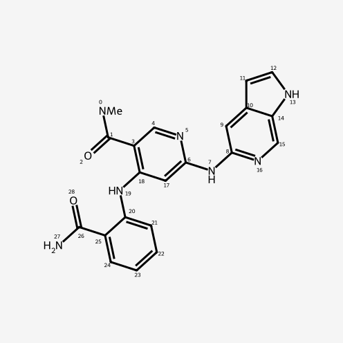 CNC(=O)c1cnc(Nc2cc3cc[nH]c3cn2)cc1Nc1ccccc1C(N)=O